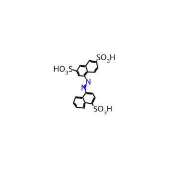 O=S(=O)(O)c1ccc2c(N=Nc3ccc(S(=O)(=O)O)c4ccccc34)cc(S(=O)(=O)O)cc2c1